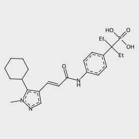 CCC(CC)(c1ccc(NC(=O)C=Cc2cnn(C)c2C2CCCCC2)cc1)P(=O)(O)O